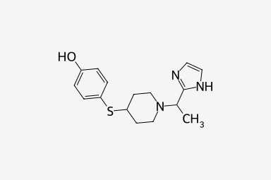 CC(c1ncc[nH]1)N1CCC(Sc2ccc(O)cc2)CC1